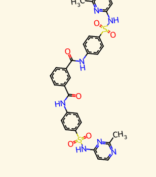 Cc1nccc(NS(=O)(=O)c2ccc(NC(=O)c3cccc(C(=O)Nc4ccc(S(=O)(=O)Nc5ccnc(C)n5)cc4)c3)cc2)n1